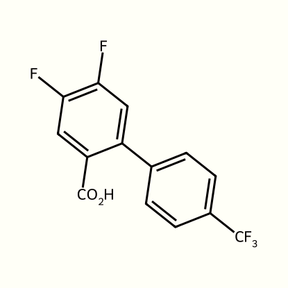 O=C(O)c1cc(F)c(F)cc1-c1ccc(C(F)(F)F)cc1